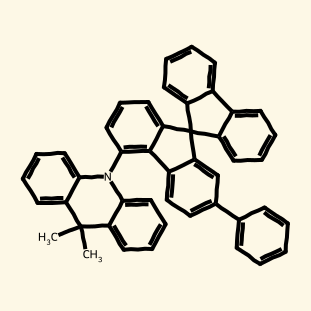 CC1(C)c2ccccc2N(c2cccc3c2-c2ccc(-c4ccccc4)cc2C32c3ccccc3-c3ccccc32)c2ccccc21